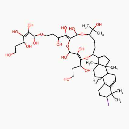 CC(C)(O)C1CCC(C2CCC3(C)C4CC=C5C(CCC(I)C5(C)C)C4(C)CCC23C)O/C(C(O)CCO)=C(\O)C(O)O/C(=C(/O)C(O)CCOC(O)/C(O)=C(/O)C(O)CCO)C(O)O1